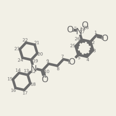 O=Cc1ccc(OCCCC(=O)N(C2CCCCC2)C2CCCCC2)cc1[N+](=O)[O-]